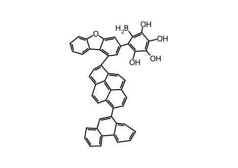 Bc1c(O)c(O)c(O)c(O)c1-c1cc(-c2ccc3ccc4c(-c5cc6ccccc6c6ccccc56)ccc5ccc2c3c54)c2c(c1)oc1ccccc12